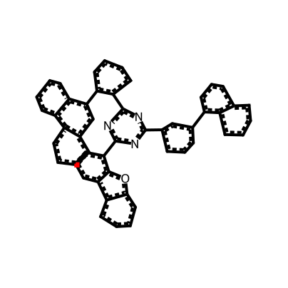 c1cc(-c2nc(-c3ccccc3-c3cc4ccccc4c4ccccc34)nc(-c3cccc4c3oc3ccccc34)n2)cc(-c2cccc3ccccc23)c1